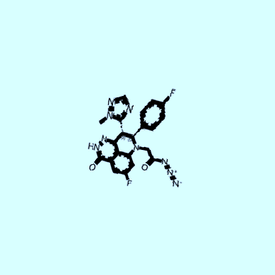 Cn1ncnc1[C@H]1c2n[nH]c(=O)c3cc(F)cc(c23)N(CC(=O)N=[N+]=[N-])[C@@H]1c1ccc(F)cc1